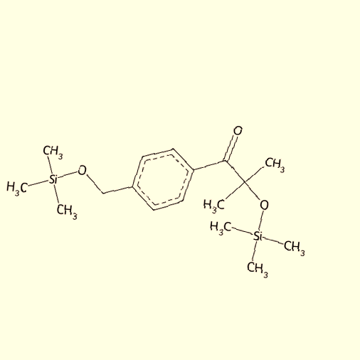 CC(C)(O[Si](C)(C)C)C(=O)c1ccc(CO[Si](C)(C)C)cc1